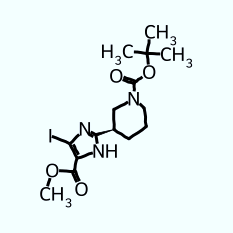 COC(=O)c1[nH]c([C@@H]2CCCN(C(=O)OC(C)(C)C)C2)nc1I